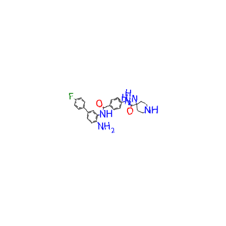 Nc1ccc(-c2ccc(F)cc2)cc1NC(=O)c1ccc(NC(=O)C2(N)CCNCC2)cc1